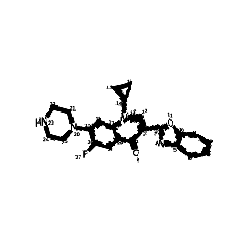 O=c1c(-c2nc3ccccc3o2)cn(C2CC2)c2cc(N3CCNCC3)c(F)cc12